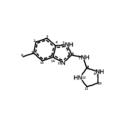 Cc1ccc2[nH]c(NC3NCCN3)nc2c1